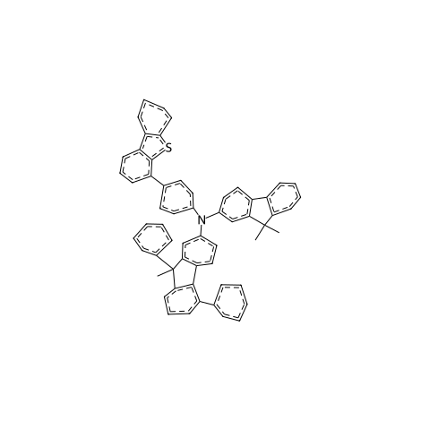 CC1(C)c2ccccc2-c2ccc(N(c3ccc(-c4cccc5c4sc4ccccc45)cc3)c3ccc4c(c3)C(C)(c3ccccc3)c3cccc(-c5ccccc5)c3-4)cc21